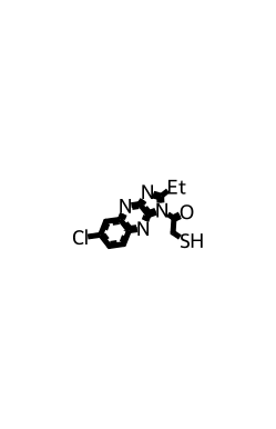 CCc1nc2nc3cc(Cl)ccc3nc2n1C(=O)CS